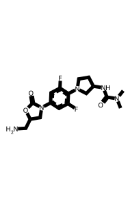 CN(C)C(=O)NC1CCN(c2c(F)cc(N3CC(CN)OC3=O)cc2F)C1